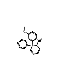 C=CC1C=CC=CC1(c1ccncc1)c1cc(OC)ccc1O